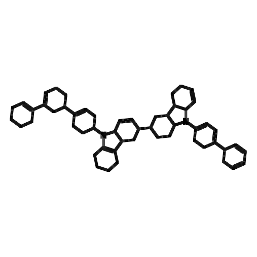 C1=CCC(C2=CC=C(N3C4C=CCCC4C4CC(C5C=CC6C(C5)C5=C(CCCC5)N6C5CC=C(C6CCC=C(C7=CCCCC7)C6)CC5)CCC43)CC2)C=C1